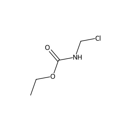 CCOC(=O)NCCl